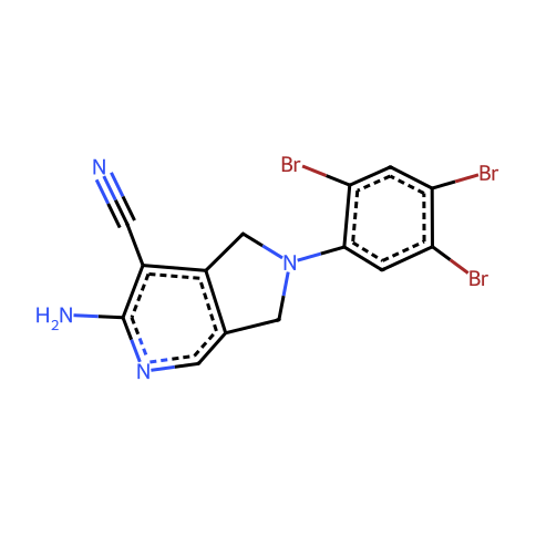 N#Cc1c(N)ncc2c1CN(c1cc(Br)c(Br)cc1Br)C2